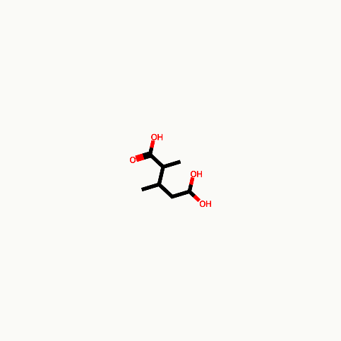 CC(CC(O)O)C(C)C(=O)O